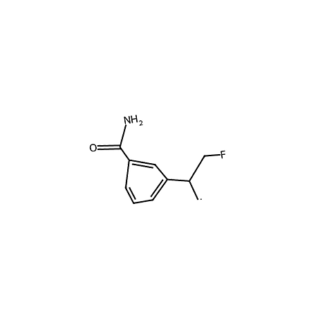 [CH2]C(CF)c1cccc(C(N)=O)c1